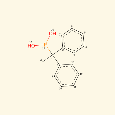 CC(c1ccccc1)(c1ccccc1)P(O)O